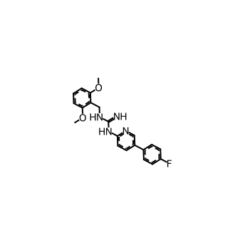 COc1cccc(OC)c1CNC(=N)Nc1ccc(-c2ccc(F)cc2)cn1